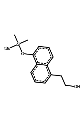 CC(C)(C)[Si](C)(C)Oc1cccc2c(CCO)cccc12